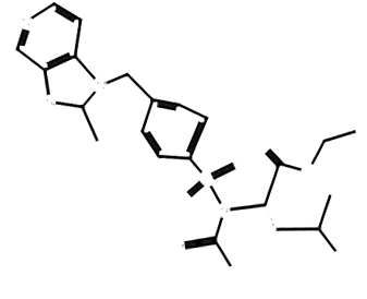 CCOC(=O)[C@H](CC(C)C)N(C(C)=O)S(=O)(=O)c1ccc(CN2c3ccncc3NC2C)cc1